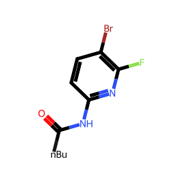 CCCCC(=O)Nc1ccc(Br)c(F)n1